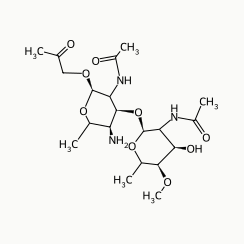 CO[C@H]1C(C)O[C@@H](O[C@@H]2C(NC(C)=O)[C@H](OCC(C)=O)OC(C)[C@@H]2N)C(NC(C)=O)[C@H]1O